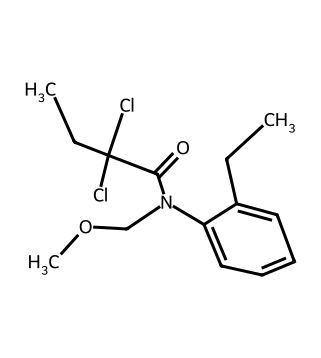 CCc1ccccc1N(COC)C(=O)C(Cl)(Cl)CC